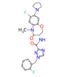 CN1C(=O)[C@@H](NC(=O)c2ncn(Cc3ccccc3F)n2)COc2cc(N3CCCC3)c(F)cc21